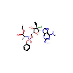 C#C[C@@]1(Cl)[C@H](O)[C@@H](COP(=O)(N[C@@H](C)C(=O)OCC)Oc2ccccc2)O[C@H]1n1cnc2c(NC)nc(N)nc21